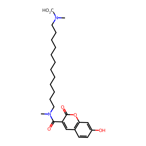 CN(CCCCCCCCCCCCN(C)C(=O)c1cc2ccc(O)cc2oc1=O)C(=O)O